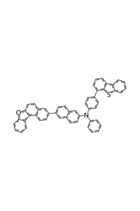 c1ccc(N(c2ccc(-c3cccc4c3sc3ccccc34)cc2)c2ccc3cc(-c4ccc5c(ccc6oc7ccccc7c65)c4)ccc3c2)cc1